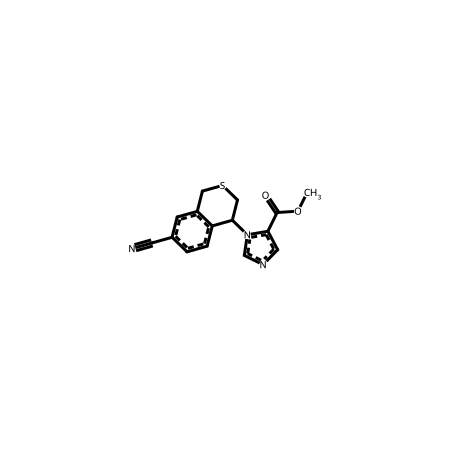 COC(=O)c1cncn1C1CSCc2cc(C#N)ccc21